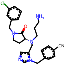 N#Cc1ccc(Cn2cncc2CN(CCCN)[C@@H]2CCN(Cc3cccc(Cl)c3)C2=O)cc1